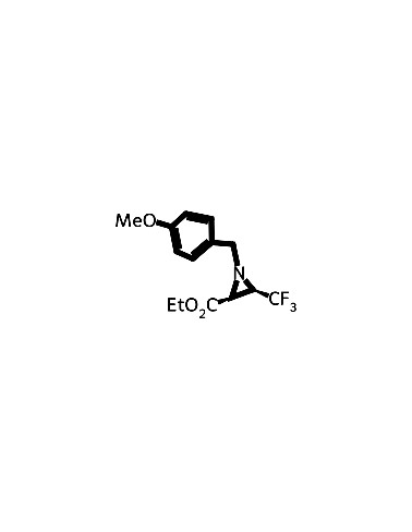 CCOC(=O)[C@@H]1[C@H](C(F)(F)F)N1Cc1ccc(OC)cc1